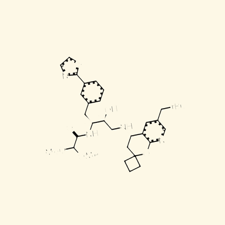 COC(OC)C(=O)N[C@@H](Cc1cccc(-c2nccs2)c1)[C@@H](O)CN[C@H]1CC2(CCC2)Oc2ncc(CC(C)(C)C)cc21